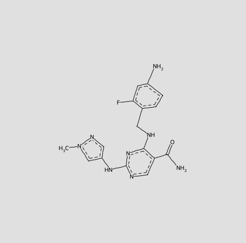 Cn1cc(Nc2ncc(C(N)=O)c(NCc3ccc(N)cc3F)n2)cn1